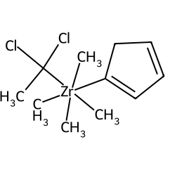 C[C](Cl)(Cl)[Zr]([CH3])([CH3])([CH3])([CH3])[C]1=CC=CC1